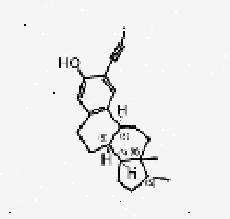 CC#Cc1cc2c(cc1O)CC[C@@H]1[C@@H]2CC[C@]2(C)[C@@H](C)CC[C@@H]12